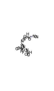 COC(=O)Nc1cc(C(F)(F)F)c(-c2nc(N3CCOCC3)c3cc(CN4CCN(C(=O)CNC(=O)/C=C/CN5CCN(C)CC5)CC4)cn3n2)cn1